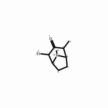 CCC1C(=O)C(C)C2CCC1N2C